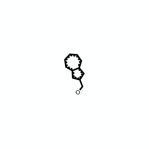 [O]Cc1cc2cccccc-2c1